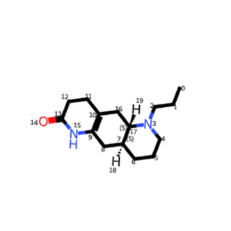 CCCN1CCC[C@H]2CC3=C(CCC(=O)N3)C[C@@H]21